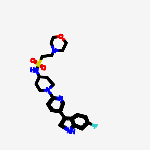 O=S(=O)(CCN1CCOCC1)NC1CCN(c2ccc(-c3c[nH]c4cc(F)ccc34)cn2)CC1